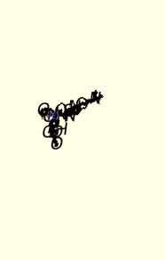 CCN(CC)CCCOc1ccc2nc(NC(=O)/C(=N/O[C@@H]3CCOC3)c3ccc(S(=O)(=O)CCCOC)cc3)sc2n1